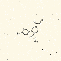 CC(C)(C)OC(=O)N1CCN(C(=O)OC(C)(C)C)[C@@H](c2ccc(Br)cc2)C1